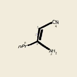 CCC/C(N)=C/C#N